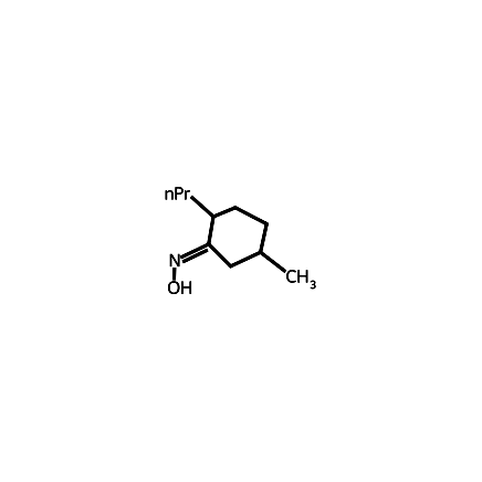 CCCC1CCC(C)CC1=NO